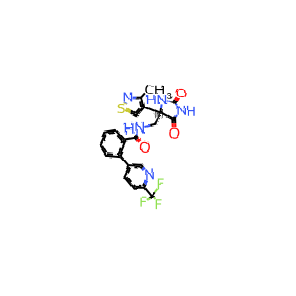 Cc1nscc1[C@]1(CNC(=O)c2ccccc2-c2ccc(C(F)(F)F)nc2)NC(=O)NC1=O